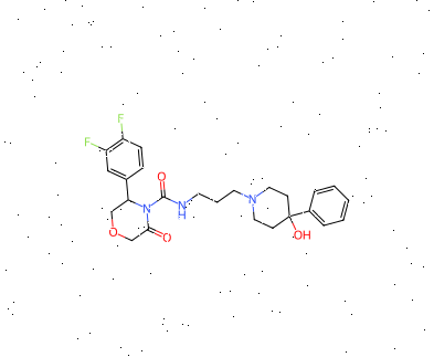 O=C1COCC(c2ccc(F)c(F)c2)N1C(=O)NCCCN1CCC(O)(c2ccccc2)CC1